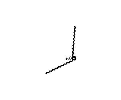 CCCCCCCCCCCCCCCCCCCc1cccc(CCCCCCCCCCCCCCCCCCC)c1O